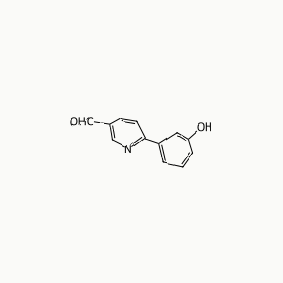 O=Cc1ccc(-c2cccc(O)c2)nc1